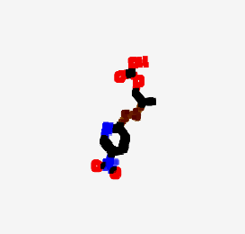 CC(COC(=O)O)SSc1ccc([N+](=O)[O-])cn1